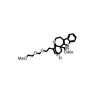 COCCOCOCCC1C[C@H]2CN3CCc4c([nH]c5ccccc45)C(C(=O)OC)(C2)C13